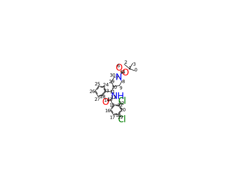 CC(C)(C)OC(=O)N1CCC(C(NC(=O)c2ccc(Cl)cc2Cl)c2ccccc2)CC1